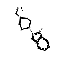 NC[C@H]1CC[C@H](n2cc3ccccc3n2)CC1